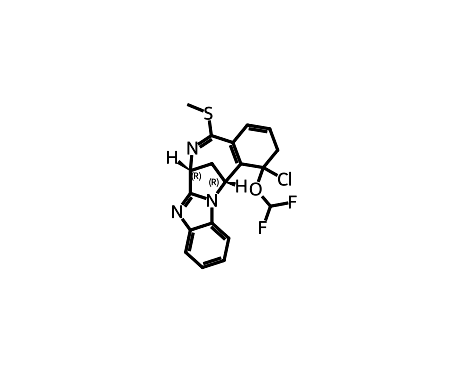 CSC1=N[C@@H]2C[C@H](C3=C1C=CCC3(Cl)OC(F)F)n1c2nc2ccccc21